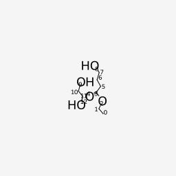 CCOC(=O)CCCO.OCCO